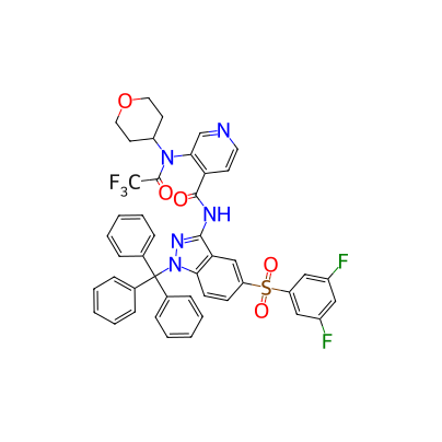 O=C(Nc1nn(C(c2ccccc2)(c2ccccc2)c2ccccc2)c2ccc(S(=O)(=O)c3cc(F)cc(F)c3)cc12)c1ccncc1N(C(=O)C(F)(F)F)C1CCOCC1